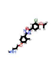 CNCCCOc1ccc(-c2noc(-c3ccc(OC(C)C)c(Cl)c3)n2)c(C)c1